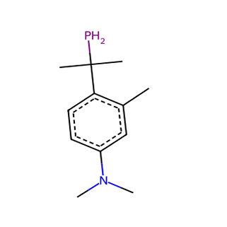 Cc1cc(N(C)C)ccc1C(C)(C)P